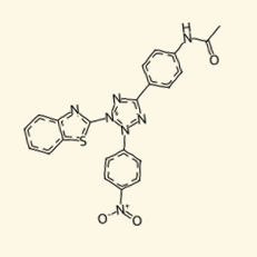 CC(=O)Nc1ccc(-c2nn(-c3ccc([N+](=O)[O-])cc3)[n+](-c3nc4ccccc4s3)n2)cc1